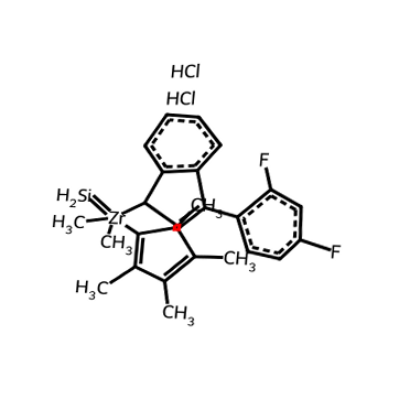 CC1=C(C)C(C)[C]([Zr]([CH3])([CH3])(=[SiH2])[CH]2C=C(c3ccc(F)cc3F)c3ccccc32)=C1C.Cl.Cl